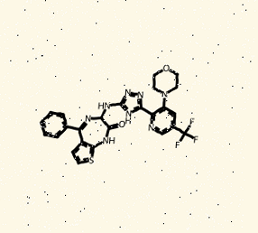 O=C1Nc2sccc2C(c2ccccc2)=NC1Nc1nnc(-c2ncc(C(F)(F)F)cc2N2CCOCC2)[nH]1